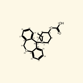 CC[N+]12CCC(OC(=O)O)CC1[C@]21c2ccccc2COc2ccccc21